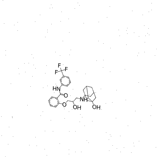 O=C(Nc1cccc(C(F)(F)F)c1)c1ccccc1OCC(O)CNC12CC3CC(CC(O)(C3)C1)C2